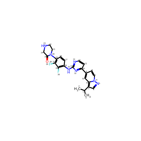 CC(C)c1cnn2ccc(-c3ccnc(Nc4ccc(N5CCNCC5=O)c(F)c4F)n3)cc12